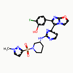 Cn1ccc(S(=O)(=O)N2CCC[C@@H](Nc3nccc(-c4c(-c5ccc(F)c(O)c5)nc5occn45)n3)C2)n1